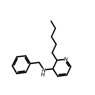 CCCCCC1N=CC=CC1NCc1ccccc1